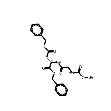 CC(C)(C)OC(=O)NCC(=O)N[C@@H](CC(=O)OCc1ccccc1)C(=O)OCc1ccccc1